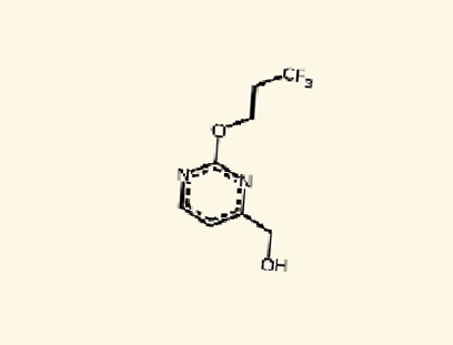 OCc1ccnc(OCCC(F)(F)F)n1